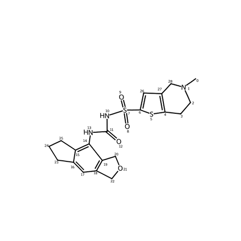 CN1CCc2sc(S(=O)(=O)NC(=O)Nc3c4c(cc5c3COC5)CCC4)cc2C1